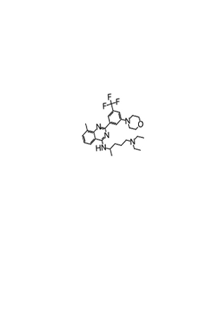 CCN(CC)CCCC(C)Nc1nc(-c2cc(N3CCOCC3)cc(C(F)(F)F)c2)nc2c(C)cccc12